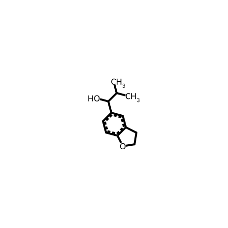 CC(C)C(O)c1ccc2c(c1)CCO2